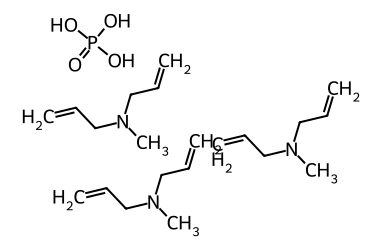 C=CCN(C)CC=C.C=CCN(C)CC=C.C=CCN(C)CC=C.O=P(O)(O)O